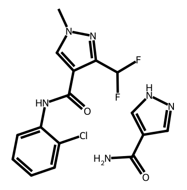 Cn1cc(C(=O)Nc2ccccc2Cl)c(C(F)F)n1.NC(=O)c1cn[nH]c1